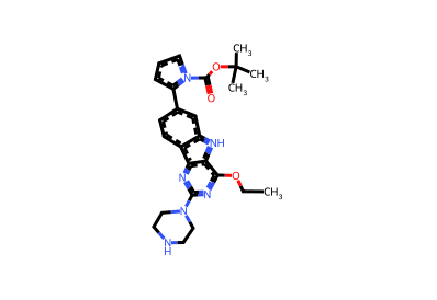 CCOc1nc(N2CCNCC2)nc2c1[nH]c1cc(-c3cccn3C(=O)OC(C)(C)C)ccc12